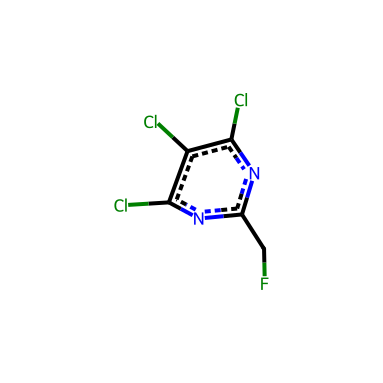 FCc1nc(Cl)c(Cl)c(Cl)n1